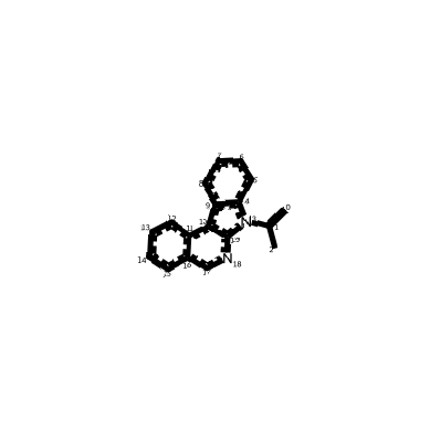 C=C(C)n1c2ccccc2c2c3ccccc3cnc21